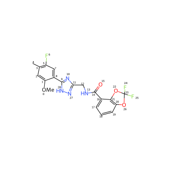 COc1cc(C)c(F)cc1-c1nc(CNC(=O)c2cccc3c2OC(F)(F)O3)n[nH]1